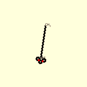 CCCCCCCCCCCCCCCCCCCCCCCC[P]([Pd])(c1ccccc1)(c1ccccc1)c1ccccc1